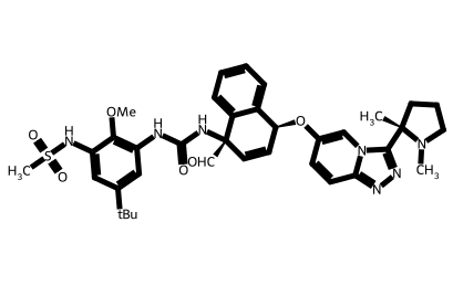 COc1c(NC(=O)N[C@@]2(C=O)C=C[C@H](Oc3ccc4nnc([C@]5(C)CCCN5C)n4c3)c3ccccc32)cc(C(C)(C)C)cc1NS(C)(=O)=O